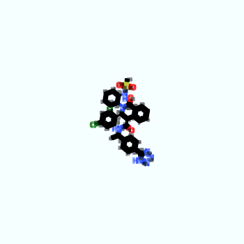 CC(NC(=O)[C@@H]1c2ccccc2C(=O)N([C@H]2CCCC[C@@H]2NS(C)(=O)=O)[C@H]1c1ccc(Cl)cc1Cl)c1ccc(-c2nnn[nH]2)cc1